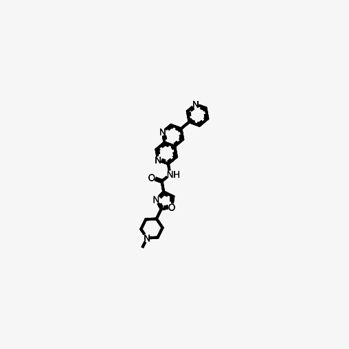 CN1CCC(c2nc(C(=O)Nc3cc4cc(-c5cccnc5)cnc4cn3)co2)CC1